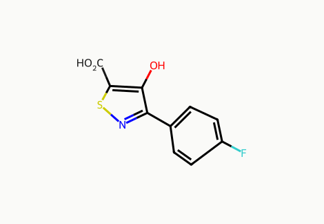 O=C(O)c1snc(-c2ccc(F)cc2)c1O